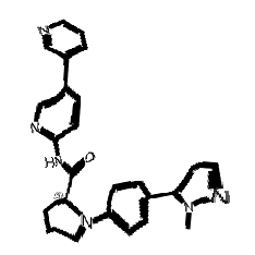 Cn1nccc1-c1ccc(N2CCC[C@H]2C(=O)Nc2ccc(-c3cccnc3)cn2)cc1